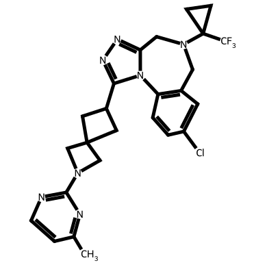 Cc1ccnc(N2CC3(CC(c4nnc5n4-c4ccc(Cl)cc4CN(C4(C(F)(F)F)CC4)C5)C3)C2)n1